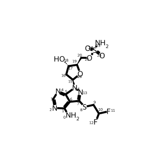 Nc1ncnc2c1c(SCC(F)F)nn2[C@H]1C[C@H](O)[C@@H](COS(N)(=O)=O)O1